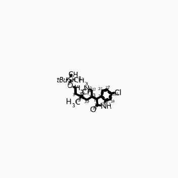 CC(C)(CCO[Si](C)(C)C(C)(C)C)CC(CN)C1C(=O)Nc2cc(Cl)ccc21